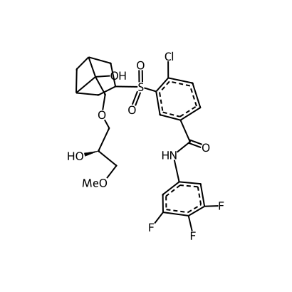 COC[C@@H](O)COCC1(O)C2CC1CC(S(=O)(=O)c1cc(C(=O)Nc3cc(F)c(F)c(F)c3)ccc1Cl)C2